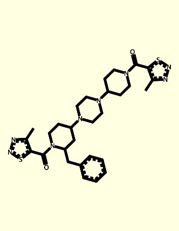 Cc1nnsc1C(=O)N1CCC(N2CCN(C3CCN(C(=O)c4snnc4C)C(Cc4ccccc4)C3)CC2)CC1